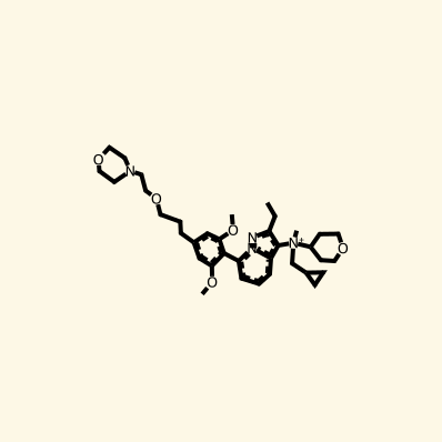 CCc1nn2c(-c3c(OC)cc(CCCOCCN4CCOCC4)cc3OC)cccc2c1[N+](C)(CC1CC1)C1CCOCC1